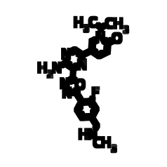 CNCc1ccc(-c2nnc(-c3nc(-c4ccc(=O)n(C(C)C)c4)cnc3N)o2)c(F)c1